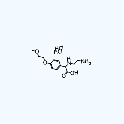 COCCOc1ccc(C(NCCN)C(=O)O)cc1.Cl.Cl